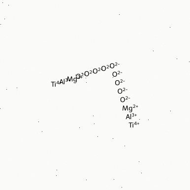 [Al+3].[Al+3].[Mg+2].[Mg+2].[O-2].[O-2].[O-2].[O-2].[O-2].[O-2].[O-2].[O-2].[O-2].[Ti+4].[Ti+4]